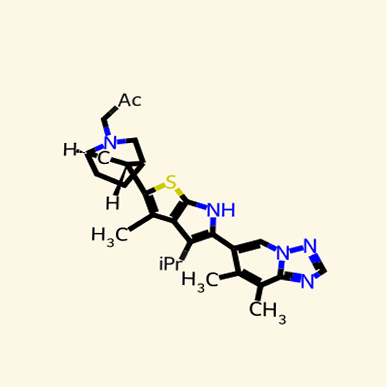 CC(=O)CN1CC2CC[C@@H]1C[C@H]2c1sc2[nH]c(-c3cn4ncnc4c(C)c3C)c(C(C)C)c2c1C